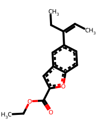 C/C=C(/CC)c1ccc2oc(C(=O)OCC)cc2c1